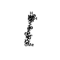 COc1ccc(-c2nc(C(=O)OCCOC(=O)CCCC[C@@H]3SC[C@@H]4NC(=O)N[C@@H]43)c(C)o2)cc1